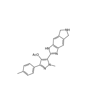 CC(=O)Oc1c(-c2ccc(C)cc2)nn(C)c1-c1nc2cc3c(cc2[nH]1)CNC3